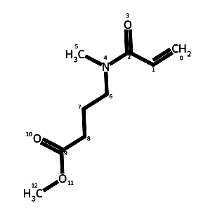 C=CC(=O)N(C)CCCC(=O)OC